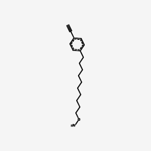 C#Cc1ccc(CCCCCCCCCCOCCC)cc1